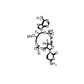 CO[C@@H]1COP(=O)(S)O[C@@H]2[C@H](F)[C@@H](COP(=O)(O)O[C@@H](n3cnc4c(N)ncnc43)[C@@H]1F)O[C@H]2n1ccc(N)nc1=O